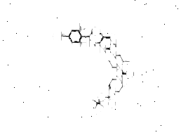 CC(Nc1nc(N2CCN(C(=O)N3CCN(C(=O)OC(C)(C)C)CC3)[C@H](C)C2)ncc1Cl)c1ccc(Cl)cc1Cl